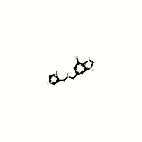 Clc1cc(CNCc2cnc[nH]2)cc2c1OCO2